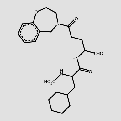 O=CC(CCC(=O)N1CCOc2ccccc2C1)NC(=O)C(CC1CCCCC1)NC(=O)O